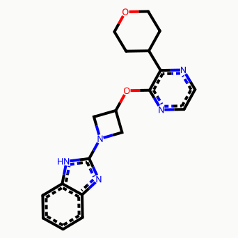 c1ccc2[nH]c(N3CC(Oc4nccnc4C4CCOCC4)C3)nc2c1